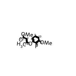 COC(=O)C=C(C)Oc1cccc(OC)c1F